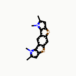 Cc1cc2sc3cc4sc5cc(C)n(C)c5c4cc3c2n1C